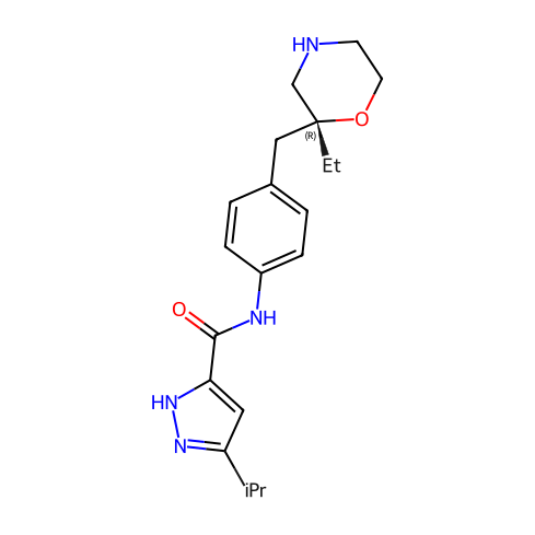 CC[C@@]1(Cc2ccc(NC(=O)c3cc(C(C)C)n[nH]3)cc2)CNCCO1